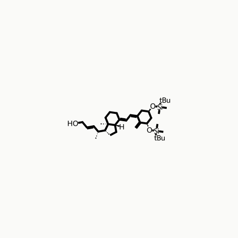 C=C1/C(=C\C=C2/CCC[C@]3(C)[C@@H]([C@H](C)/C=C/CO)CC[C@@H]23)C[C@@H](O[Si](C)(C)C(C)(C)C)C[C@@H]1O[Si](C)(C)C(C)(C)C